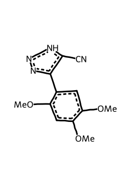 COc1cc(OC)c(-c2nn[nH]c2C#N)cc1OC